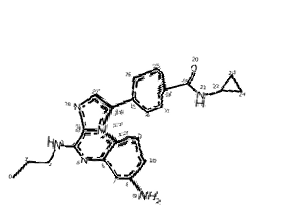 CCCNc1nc2cc(N)ccc2n2c(-c3ccc(C(=O)NC4CC4)cc3)cnc12